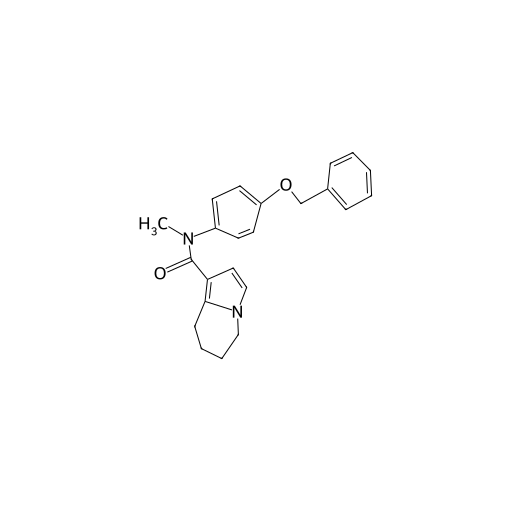 CN(C(=O)c1ccn2c1CCCC2)c1ccc(OCc2ccccc2)cc1